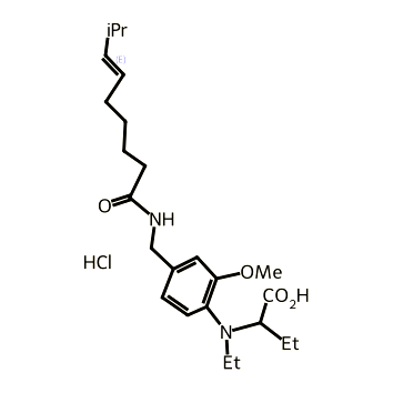 CCC(C(=O)O)N(CC)c1ccc(CNC(=O)CCCC/C=C/C(C)C)cc1OC.Cl